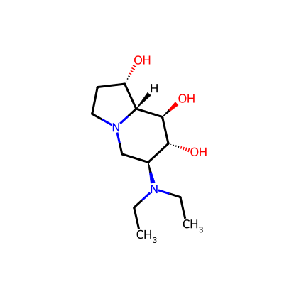 CCN(CC)[C@H]1CN2CC[C@H](O)[C@@H]2[C@@H](O)[C@@H]1O